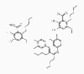 CCCCC(=Nc1ccc(C)c(C)c1)C(CCCC)=Nc1ccc(C)c(C)c1.CCCCCc1c(CC)cc(O)c(O)c1C(=O)[O-].CCCCCc1c(CC)cc(O)c(O)c1C(=O)[O-].[Ni+2]